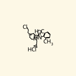 Cc1cccc(C)c1NC(=O)[C@@H]1C[C@H](CCCl)CCN1CC1CC1.Cl